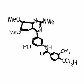 CNc1nc(-c2cccc(NC(=O)c3ccc(C(=O)O)c(C)c3)c2)c2cc(OC)c(OC)cc2n1.Cl